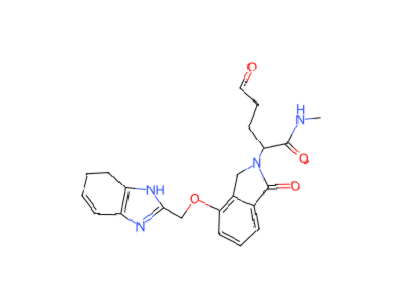 CNC(=O)C(CCC=O)N1Cc2c(OCc3nc4c([nH]3)CCC=C4)cccc2C1=O